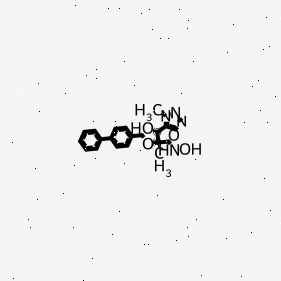 Cn1nncc1[C@H](O)[C@](C)(OCc1ccc(-c2ccccc2)cc1)C(=O)NO